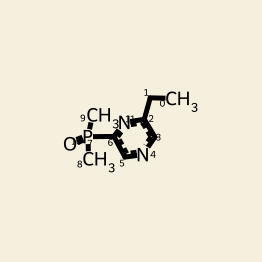 CCc1cncc(P(C)(C)=O)n1